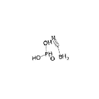 BC#N.O=[PH](O)O